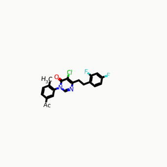 CC(=O)c1ccc(C)c(-n2cnc(CCc3ccc(F)cc3F)c(Cl)c2=O)c1